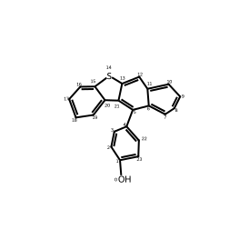 Oc1ccc(-c2c3ccccc3cc3sc4ccccc4c23)cc1